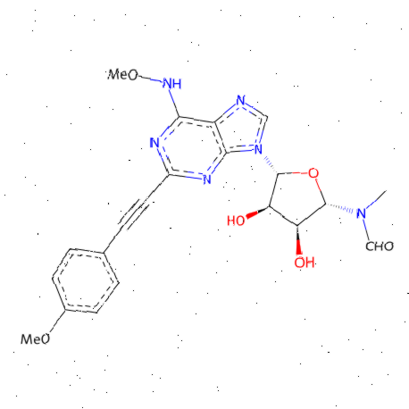 CONc1nc(C#Cc2ccc(OC)cc2)nc2c1ncn2[C@@H]1O[C@H](N(C)C=O)[C@@H](O)[C@H]1O